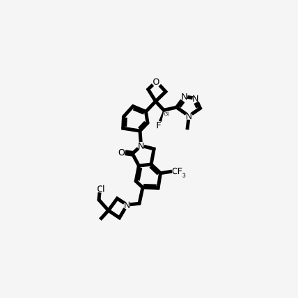 Cn1cnnc1[C@@H](F)C1(c2cccc(N3Cc4c(cc(CN5CC(C)(CCl)C5)cc4C(F)(F)F)C3=O)c2)COC1